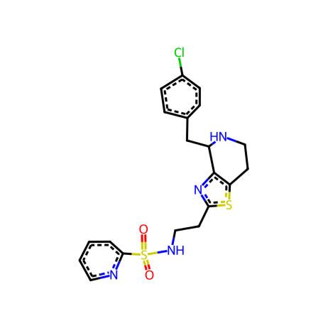 O=S(=O)(NCCc1nc2c(s1)CCNC2Cc1ccc(Cl)cc1)c1ccccn1